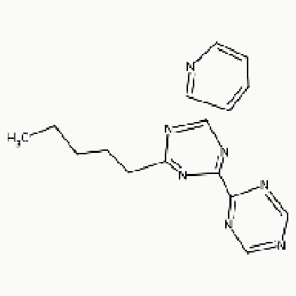 CCCCCc1ncnc(-c2ncncn2)n1.c1ccncc1